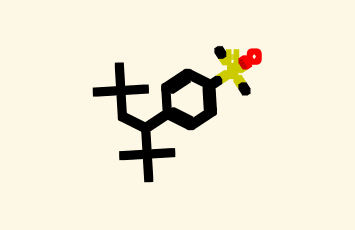 CC(C)(C)CC(c1ccc([SH](C)(C)=O)cc1)C(C)(C)C